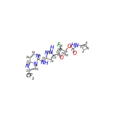 O=C(NC12CC(C1)C2)O[C@H]1CO[C@@H](c2cc(Nc3nccc4nc(C(F)(F)F)cn34)n[nH]2)[C@H]1F